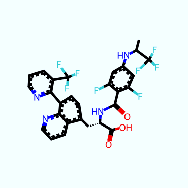 CC(Nc1cc(F)c(C(=O)N[C@@H](Cc2ccc(-c3ncccc3C(F)(F)F)c3ncccc23)C(=O)O)c(F)c1)C(F)(F)F